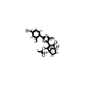 CC(=O)OC1=C(c2nc(-c3ccc(Br)cc3C)sc2C)C(=O)[C@H]2CC[C@@H]1C2